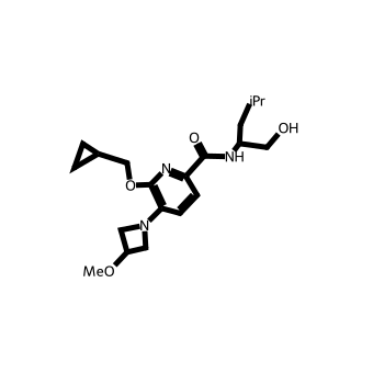 COC1CN(c2ccc(C(=O)NC(CO)CC(C)C)nc2OCC2CC2)C1